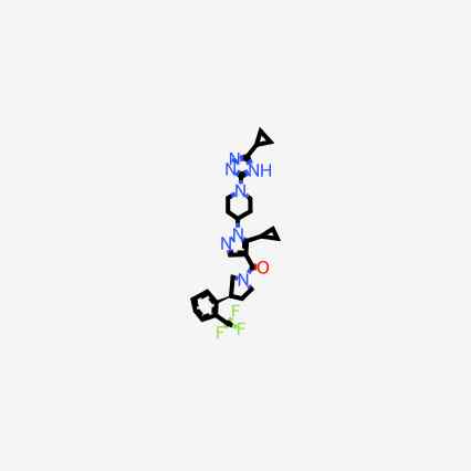 O=C(c1cnn(C2CCN(c3nnc(C4CC4)[nH]3)CC2)c1C1CC1)N1CC[C@@H](c2ccccc2C(F)(F)F)C1